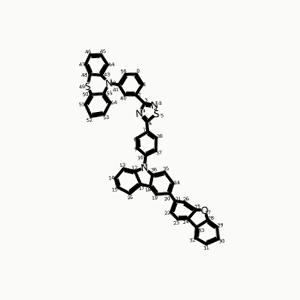 c1cc(-c2nsc(-c3ccc(-n4c5ccccc5c5cc(-c6ccc7c(c6)oc6ccccc67)ccc54)cc3)n2)cc(N2c3ccccc3Sc3ccccc32)c1